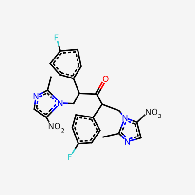 Cc1ncc([N+](=O)[O-])n1CC(C(=O)C(Cn1c([N+](=O)[O-])cnc1C)c1ccc(F)cc1)c1ccc(F)cc1